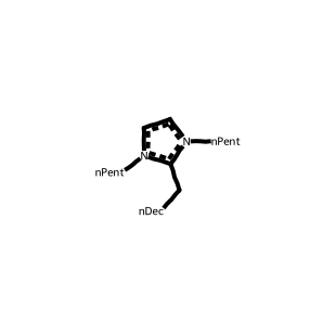 CCCCCCCCCCCc1n(CCCCC)cc[n+]1CCCCC